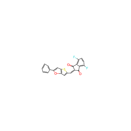 O=C1C(=Cc2cc3oc(-c4ccccc4)cc3s2)C(=O)c2c(F)ccc(F)c21